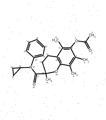 CC(=O)Oc1c(C)c(C)c2c(c1C)CCC(C)(C(=O)N(c1ccccc1)C1CC1)O2